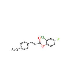 CC(=O)Oc1ccc(/C=C/C(=O)Oc2ccc(F)cc2Cl)cc1